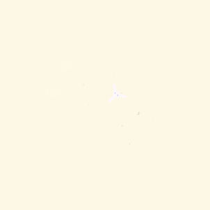 OB(O)C1CCN(Cc2ccccc2)CC1